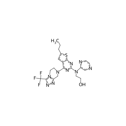 CCCc1cc2c(N3CCn4c(nnc4C(F)(F)F)C3)nc(N(CCO)c3cnccn3)nc2s1